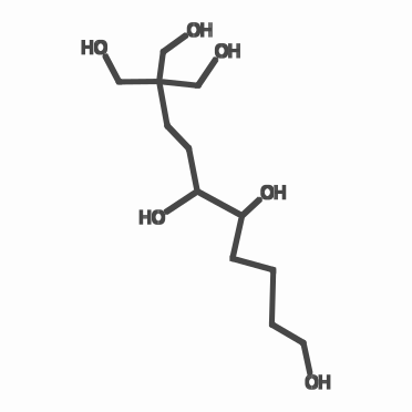 OCCCCC(O)C(O)CCC(CO)(CO)CO